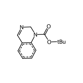 CC(C)(C)OC(=O)N1CN=Cc2ccccc21